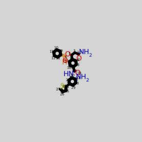 NC(=O)CC(O[PH](=O)c1ccccc1)c1ccc(C(=O)Nc2cc(-c3cccs3)ccc2N)cc1